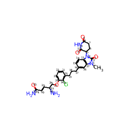 Cn1c(=O)n(C2CCC(=O)NC2=O)c2ccc(CCCc3cccc(OCC(N)CCC(N)=O)c3Cl)cc21